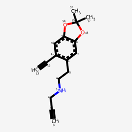 C#CCNCCc1cc2c(cc1C#C)OC(C)(C)O2